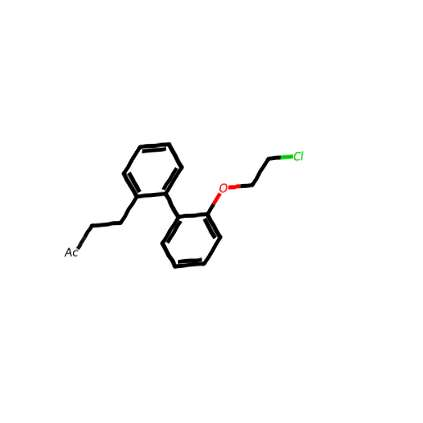 CC(=O)CCc1ccccc1-c1ccccc1OCCCl